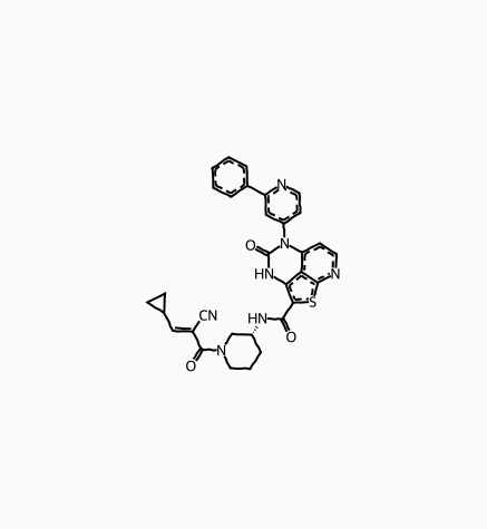 N#C/C(=C\C1CC1)C(=O)N1CCC[C@@H](NC(=O)c2sc3nccc4c3c2NC(=O)N4c2ccnc(-c3ccccc3)c2)C1